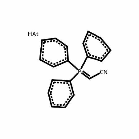 N#CC=P(c1ccccc1)(c1ccccc1)c1ccccc1.[AtH]